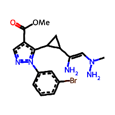 COC(=O)c1cnn(-c2cccc(Br)c2)c1C1CC1/C(N)=C/N(C)N